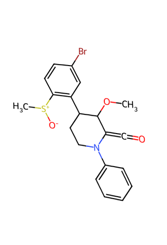 COC1C(=C=O)N(c2ccccc2)CCC1c1cc(Br)ccc1[S+](C)[O-]